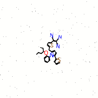 CCCC(CC)Oc1ccccc1-n1c(Cc2ccc(C(C#N)=C(C#N)C#N)s2)ccc1-c1cccs1